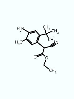 CCOC(=O)C(C#N)c1cc(C)c(N)cc1C(C)(C)C